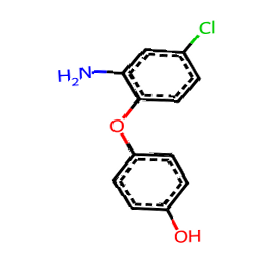 Nc1cc(Cl)ccc1Oc1ccc(O)cc1